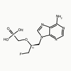 Nc1ncnc2c1ncn2C[C@@H](CF)OCP(=O)(O)O